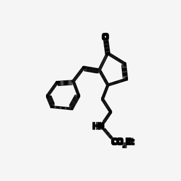 CCOC(=O)NCCC1C=CC(=O)/C1=C/c1ccccc1